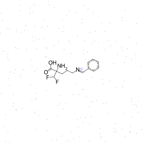 NC(CCC/N=C/c1ccccc1)(C(=O)O)C(F)F